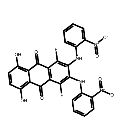 O=C1c2c(O)ccc(O)c2C(=O)c2c(F)c(Nc3ccccc3[N+](=O)[O-])c(Nc3ccccc3[N+](=O)[O-])c(F)c21